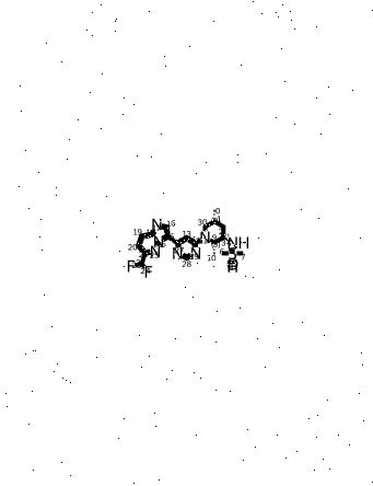 C[C@@H]1C[C@H](N[SH](C)(C)=O)[C@H](C)N(c2cc(-c3cnc4ccc(C(F)F)nn34)ncn2)C1